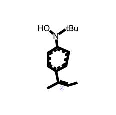 C/C=C(/C)c1ccc(N(O)C(C)(C)C)cc1